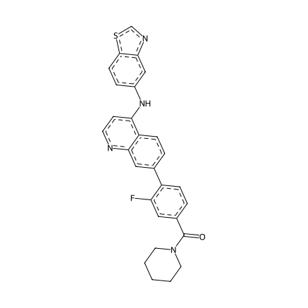 O=C(c1ccc(-c2ccc3c(Nc4ccc5scnc5c4)ccnc3c2)c(F)c1)N1CCCCC1